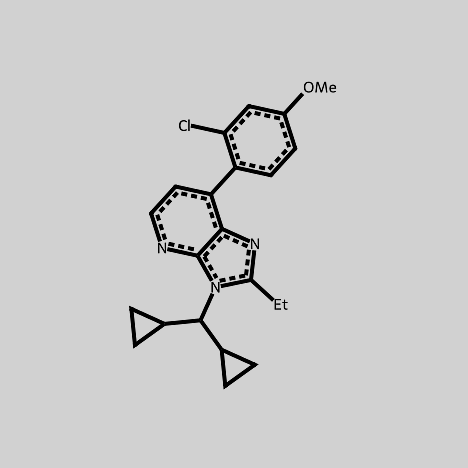 CCc1nc2c(-c3ccc(OC)cc3Cl)ccnc2n1C(C1CC1)C1CC1